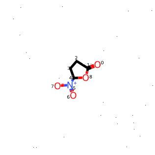 O=C1CCC([N+](=O)[O-])O1